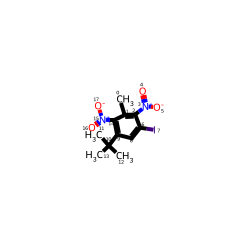 Cc1c([N+](=O)[O-])c(I)cc(C(C)(C)C)c1[N+](=O)[O-]